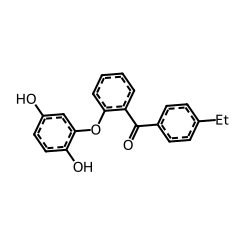 CCc1ccc(C(=O)c2ccccc2Oc2cc(O)ccc2O)cc1